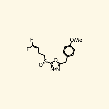 COc1ccc(Cc2nnc([S+]([O-])CCC=C(F)F)o2)cc1